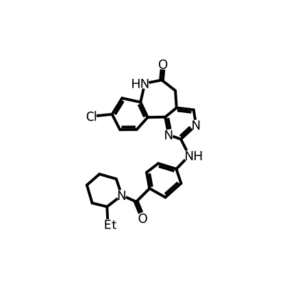 CCC1CCCCN1C(=O)c1ccc(Nc2ncc3c(n2)-c2ccc(Cl)cc2NC(=O)C3)cc1